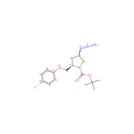 CC(C)(C)OC(=O)N1C[C@H](N=[N+]=[N-])C[C@@H]1COc1ccc(F)cc1